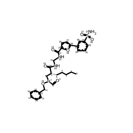 CCCCC[C@H](CN(C=O)OCc1ccccc1)C(=O)NCNC(=O)c1ccc(-c2cccc(S(N)(=O)=O)c2)o1